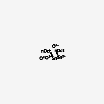 CCCCCCC[CH2][Sn+3].CCCCCCC[CH2][Sn+3].[O-2].[O-2].[O-2]